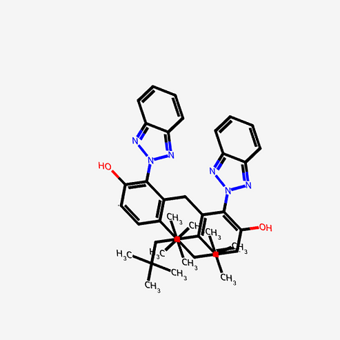 CC(C)(C)CC(C)(C)c1c[c]c(O)c(-n2nc3ccccc3n2)c1Cc1c(C(C)(C)CC(C)(C)C)c[c]c(O)c1-n1nc2ccccc2n1